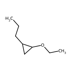 [CH2]CCC1CC1OCC